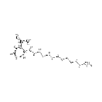 CCCCCCCCCCCCOc1ccncc1[N+](=O)[O-]